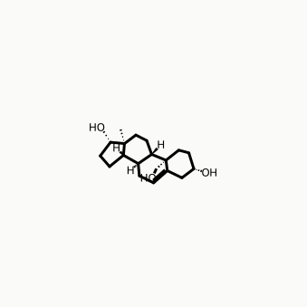 C[C@]12CC[C@H]3[C@@H](CC=C4C[C@@H](O)CC[C@@]43CO)[C@@H]1CC[C@@H]2O